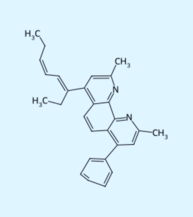 CC/C=C\C=C(/CC)c1cc(C)nc2c1ccc1c(-c3ccccc3)cc(C)nc12